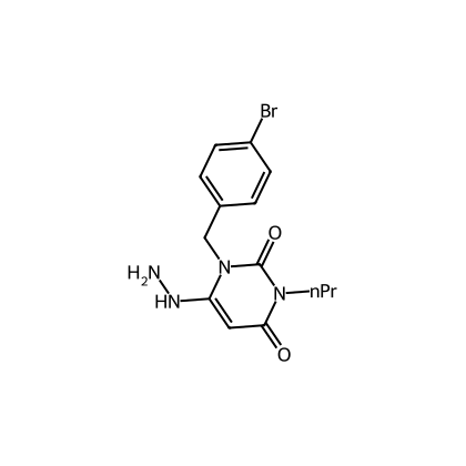 CCCn1c(=O)cc(NN)n(Cc2ccc(Br)cc2)c1=O